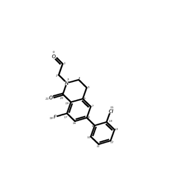 O=CCN1CCc2cc(-c3cc[c]cc3Cl)cc(F)c2C1=O